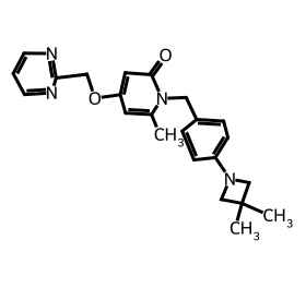 Cc1cc(OCc2ncccn2)cc(=O)n1Cc1ccc(N2CC(C)(C)C2)cc1